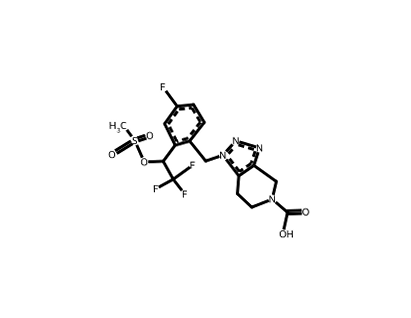 CS(=O)(=O)OC(c1cc(F)ccc1Cn1nnc2c1CCN(C(=O)O)C2)C(F)(F)F